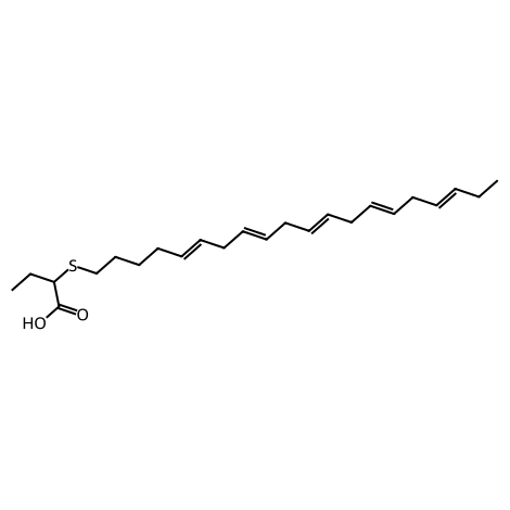 CCC=CCC=CCC=CCC=CCC=CCCCCSC(CC)C(=O)O